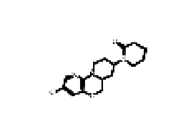 O=C1CCCCN1C1CCN2c3ncc(Cl)cc3OCC2C1